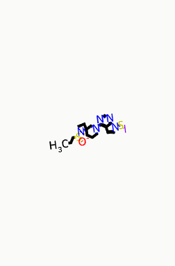 CCC[S+]([O-])N1CCC12CCCN(c1ncnc3c1ccn3SI)C2